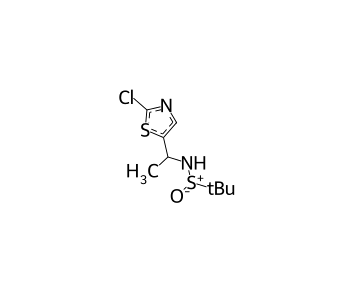 CC(N[S+]([O-])C(C)(C)C)c1cnc(Cl)s1